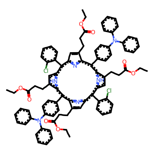 CCOC(=O)CCC1=Cc2nc1c(-c1ccc(N(c3ccccc3)c3ccccc3)cc1)c1[nH]c(cc1CCC(=O)OCC)c(-c1ccccc1Cl)c1nc(c(-c3ccc(N(c4ccccc4)c4ccccc4)cc3)c3[nH]c(cc3CCC(=O)OCC)c2-c2ccccc2Cl)C(CCC(=O)OCC)=C1